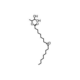 CCCCCCCCC1OC1CCCCCCCC(=O)OC(C)C(O)O